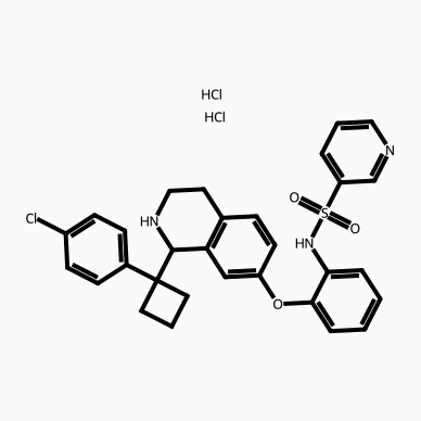 Cl.Cl.O=S(=O)(Nc1ccccc1Oc1ccc2c(c1)C(C1(c3ccc(Cl)cc3)CCC1)NCC2)c1cccnc1